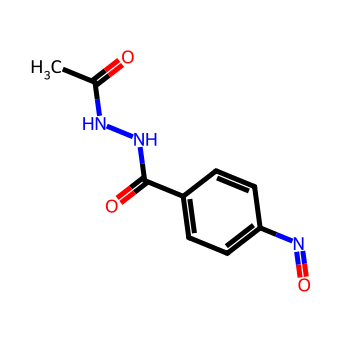 CC(=O)NNC(=O)c1ccc(N=O)cc1